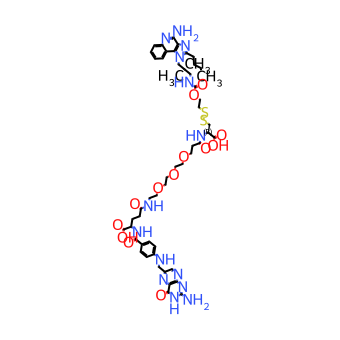 CCCCc1nc2c(N)nc3ccccc3c2n1CC(C)(C)CNC(=O)OCCSSC[C@H](NC(=O)CCOCCOCCOCCNC(=O)CCC(NC(=O)c1ccc(NCc2cnc3nc(N)[nH]c(=O)c3n2)cc1)C(=O)O)C(=O)O